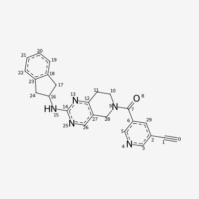 C#Cc1cncc(C(=O)N2CCc3nc(NC4Cc5ccccc5C4)ncc3C2)c1